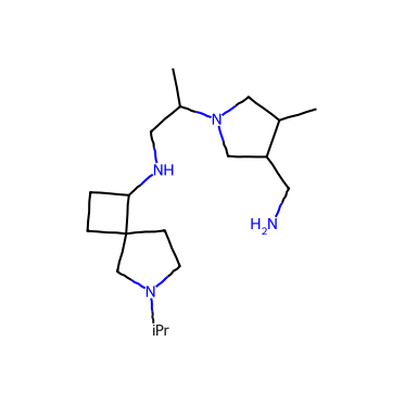 CC1CN(C(C)CNC2CCC23CCN(C(C)C)C3)CC1CN